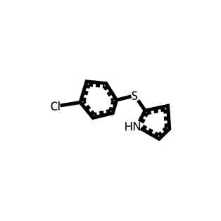 Clc1ccc(Sc2ccc[nH]2)cc1